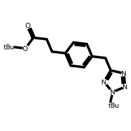 CC(C)(C)OC(=O)CCc1ccc(Cc2nnn(C(C)(C)C)n2)cc1